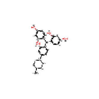 CCCC1CCC(c2ccc(C(c3ccc(O)cc3O)c3ccc(O)cc3O)cc2)CC1